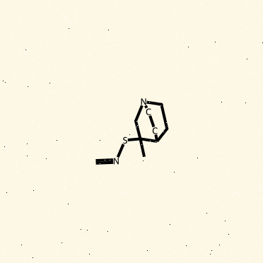 C=NSC1(C)CN2CCC1CC2